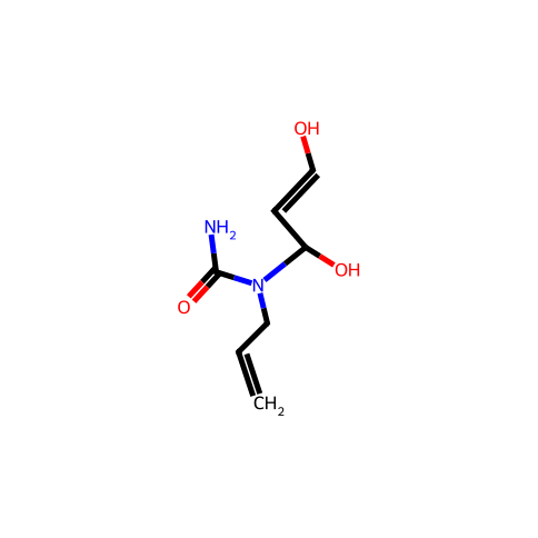 C=CCN(C(N)=O)C(O)C=CO